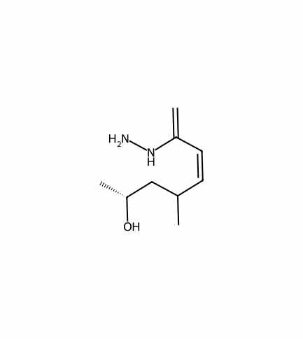 C=C(/C=C\C(C)C[C@@H](C)O)NN